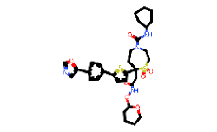 O=C(CC1(c2ccc(-c3ccc(-c4cnco4)cc3)s2)CCN(C(=O)NC2CCCCC2)CCS1(=O)=O)NOC1CCCCO1